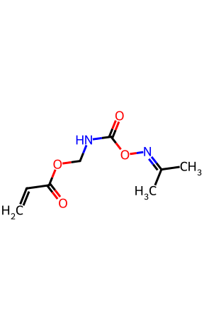 C=CC(=O)OCNC(=O)ON=C(C)C